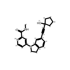 CNC(=O)c1cc(N2CCc3ccc(C#CC4(O)CCCC4)cc32)ccn1